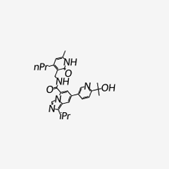 CCCc1cc(C)[nH]c(=O)c1CNC(=O)c1cc(-c2ccc(C(C)(C)O)nc2)cc2c(C(C)C)ncn12